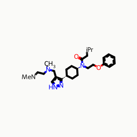 CNCCN(C)Cc1c[nH]nc1[C@H]1CC[C@@H](N(CCOc2ccccc2)C(=O)CC(C)C)CC1